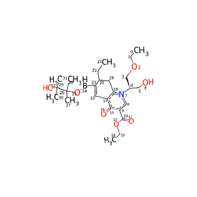 CCOC[C@@H](CO)n1cc(C(=O)OCC)c(=O)c2c1CC(CC)C(BOC(C)(C)C(C)(C)O)=C2